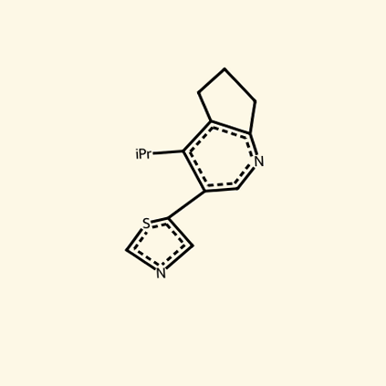 CC(C)c1c(-c2cncs2)cnc2c1CCC2